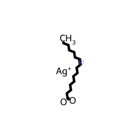 CCCCCC/C=C\CCCCCCCC(=O)[O-].[Ag+]